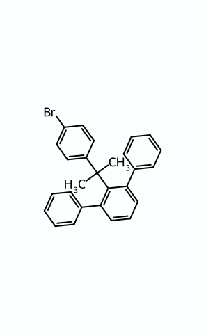 CC(C)(c1ccc(Br)cc1)c1c(-c2ccccc2)cccc1-c1ccccc1